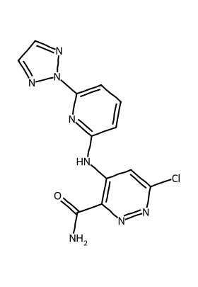 NC(=O)c1nnc(Cl)cc1Nc1cccc(-n2nccn2)n1